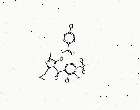 CCc1c(S(C)(=O)=O)ccc(C(=O)c2c(C3CC3)nn(C)c2OCC(=O)c2ccc(Cl)cc2)c1Cl